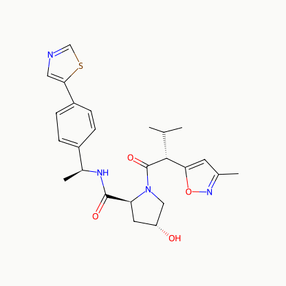 Cc1cc([C@H](C(=O)N2C[C@H](O)C[C@H]2C(=O)N[C@@H](C)c2ccc(-c3cncs3)cc2)C(C)C)on1